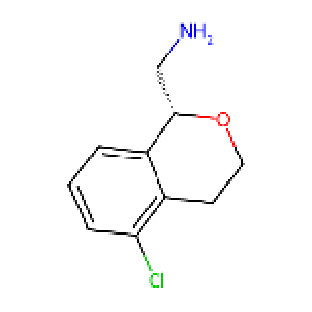 NC[C@@H]1OCCc2c(Cl)cccc21